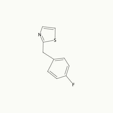 Fc1ccc(Cc2nccs2)cc1